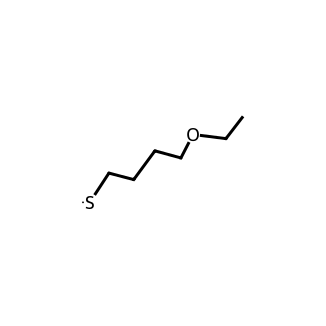 CCOCCCC[S]